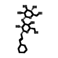 OC[C@H]1O[C@H](C/C=C/C2CCCCC2)[C@H](O)[C@@H](O[C@H]2O[C@H](CO)[C@@H](O)[C@H](O)[C@@H]2O)[C@H]1O